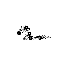 COC(=O)Cc1ccc(CCCOc2cccc(-c3ccc(N4CCc5cccc(C(=O)Nc6nc7ccccc7s6)c5C4)nc3C(=O)OC(C)(C)C)c2C)nc1